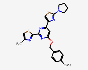 COc1ccc(COc2cc(-c3csc(N4CCCC4)n3)nc(-c3nc(C(F)(F)F)cs3)n2)cc1